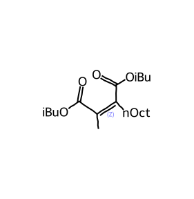 CCCCCCCC/C(C(=O)OCC(C)C)=C(\C)C(=O)OCC(C)C